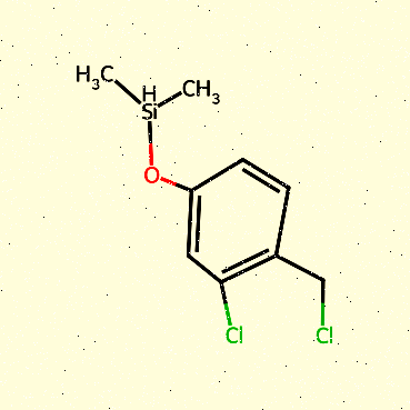 C[SiH](C)Oc1ccc(CCl)c(Cl)c1